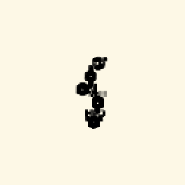 Cc1cccc(C)c1NC(=O)c1ccc(Nc2nc(-c3ccc(CN4CCN(C)CC4)cc3)c3ccccc3n2)cc1